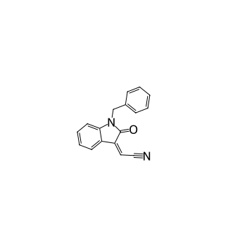 N#CC=C1C(=O)N(Cc2ccccc2)c2ccccc21